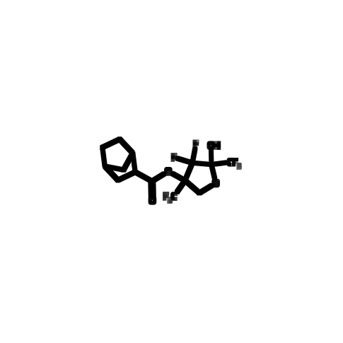 O=C(OC1(C(F)(F)F)COC(O)(C(F)(F)F)C1(F)F)C1CC2CCC1C2